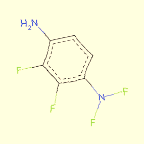 Nc1ccc(N(F)F)c(F)c1F